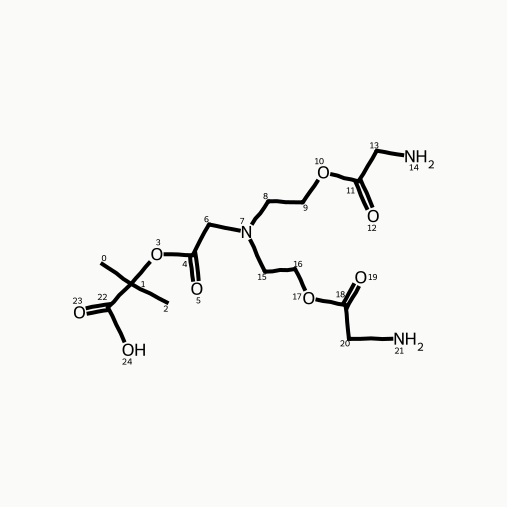 CC(C)(OC(=O)CN(CCOC(=O)CN)CCOC(=O)CN)C(=O)O